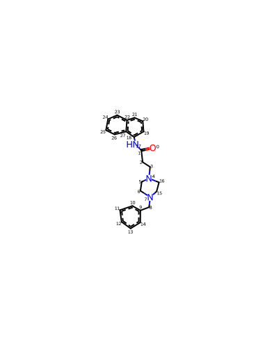 O=C(CCN1CCN(Cc2ccccc2)CC1)Nc1cccc2ccccc12